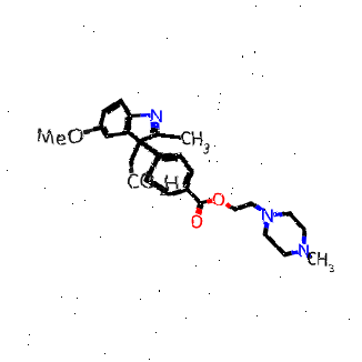 COc1ccc2c(c1)C(CC(=O)O)(c1ccc(C(=O)OCCN3CCN(C)CC3)cc1)C(C)=N2